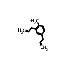 [CH2]c1ccc(CC=C)cc1CC=C